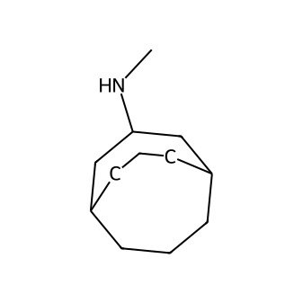 CNC1CC2CCCC(CCC2)C1